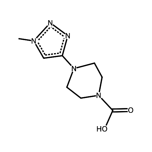 Cn1cc(N2CCN(C(=O)O)CC2)nn1